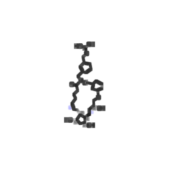 O=C(CCC/C=C\C[C@@H]1[C@@H](/C=C/[C@@H](O)COc2cccc(Cl)c2)[C@H](O)C[C@@H]1O)OCc1cccc(CON(O)O)c1